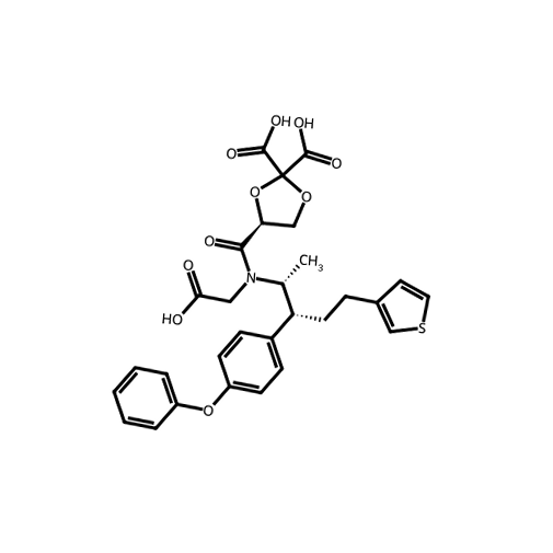 C[C@H]([C@H](CCc1ccsc1)c1ccc(Oc2ccccc2)cc1)N(CC(=O)O)C(=O)[C@@H]1COC(C(=O)O)(C(=O)O)O1